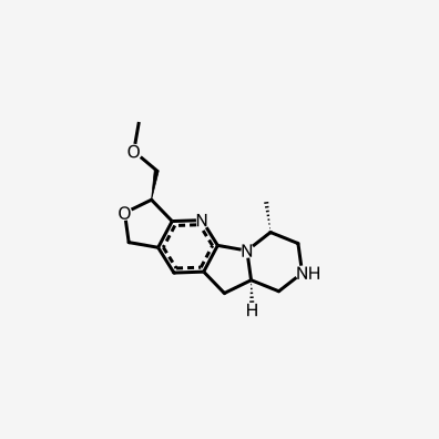 COC[C@@H]1OCc2cc3c(nc21)N1[C@@H](CNC[C@H]1C)C3